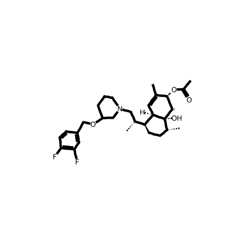 CC(=O)O[C@@H]1[C][C@@]2(O)[C@H](C)CC[C@@H]([C@H](C)CN3CCCC(OCc4ccc(F)c(F)c4)C3)[C@H]2C=C1C